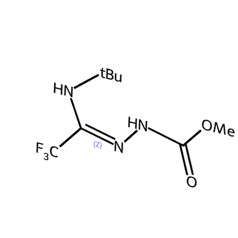 COC(=O)N/N=C(\NC(C)(C)C)C(F)(F)F